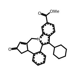 COC(=O)c1ccc2c(C3CCCCC3)c3n(c2c1)CC1=CC(=O)CC1c1ccccc1-3